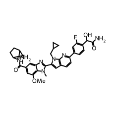 COc1cc(C(=O)N2CC3CCC2[C@@H]3N)cc2nc(-c3cc4ccc(-c5ccc(C(O)C(N)=O)c(F)c5)nc4n3CC3CC3)n(C)c12